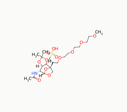 COCCOCCOCCOCC(CS(=O)(=O)O)[C@@]12CO[C@@H](O1)[C@H](NC(C)=O)[C@H]1OC(C)(C)O[C@H]12